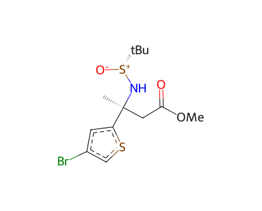 COC(=O)C[C@](C)(N[S@+]([O-])C(C)(C)C)c1cc(Br)cs1